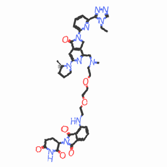 CCn1cnnc1-c1cccc(N2Cc3c(cc(N4CCC[C@H]4C)nc3CN(C)CCOCCOCCNc3cccc4c3C(=O)N(C3CCC(=O)NC3=O)C4=O)C2=O)n1